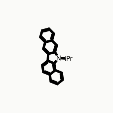 CC(C)n1c2cc3ccccc3cc2c2ccc3ccccc3c21